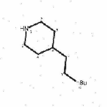 CCCCCCC1CCNCC1